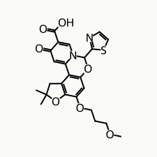 COCCCOc1cc2c(c3c1OC(C)(C)C3)-c1cc(=O)c(C(=O)O)cn1C(c1nccs1)O2